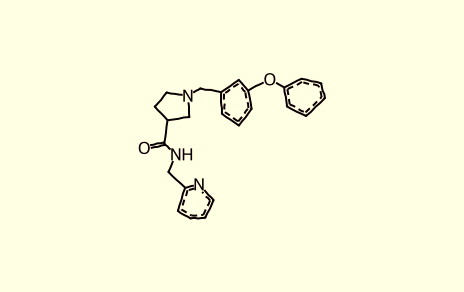 O=C(NCc1ccccn1)C1CCN(Cc2cccc(Oc3ccccc3)c2)C1